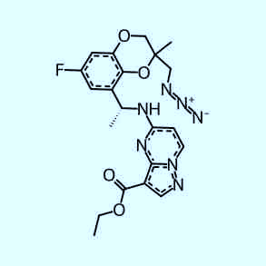 CCOC(=O)c1cnn2ccc(N[C@H](C)c3cc(F)cc4c3OC(C)(CN=[N+]=[N-])CO4)nc12